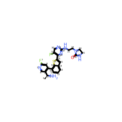 C[C@H](N)c1cnc(F)cc1-c1cccc2cc(-c3nc(NCCN4CCNC4=O)ncc3F)sc12